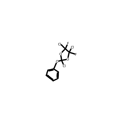 FC1(Cl)OC(Cl)(Oc2ccccc2)OC1(F)Cl